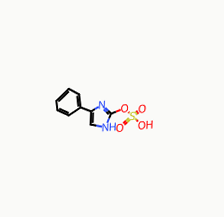 O=S(=O)(O)Oc1nc(-c2ccccc2)c[nH]1